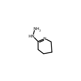 NNC1=NCCCC1